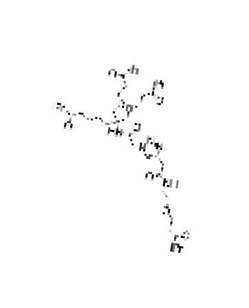 CC(C)C(=O)CCCCC(COCCC(=O)C(C)C)(COCCC(=O)C(C)C)NC(=O)Cn1cc(CC(=O)NCCOCCC(=O)C(C)C)nn1